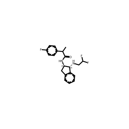 CC(C(=O)N[C@@H]1Cc2ccccc2[C@H]1NCC(F)F)c1ccc(F)cc1